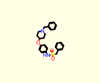 O=S(=O)(Cc1ccccc1)Nc1ccc(OC2CCN(Cc3ccccc3)CC2)cc1